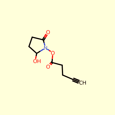 C#CCCC(=O)ON1C(=O)CCC1O